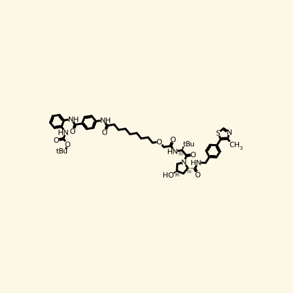 Cc1ncsc1-c1ccc(CNC(=O)[C@@H]2C[C@@H](O)CN2C(=O)[C@@H](NC(=O)COCCCCCCCCC(=O)Nc2ccc(C(=O)Nc3ccccc3NC(=O)OC(C)(C)C)cc2)C(C)(C)C)cc1